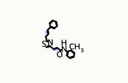 Cc1ccccc1NC(=O)/C=C/c1csc(C/C=C/c2ccccc2)n1